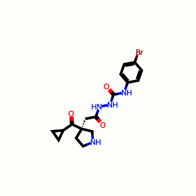 O=C(C[C@@]1(C(=O)C2CC2)CCNC1)NNC(=O)Nc1ccc(Br)cc1